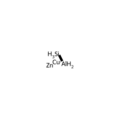 [AlH2][SiH3].[Cu].[Zn]